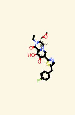 CCN1C(=O)c2c(O)c(=O)c(-c3ncc(Cc4ccc(F)cc4)s3)cn2[C@@H](C)[C@H]1COC